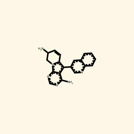 Nc1ncnc2c1c(-c1cnc3ccccc3c1)c1n2CC(N)C=C1